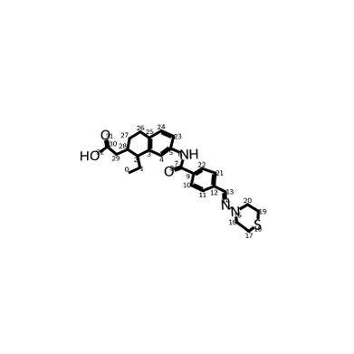 CCC1c2cc(NC(=O)c3ccc(C=NN4CCSCC4)cc3)ccc2CCC1CC(=O)O